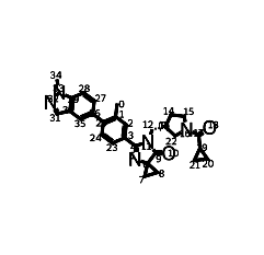 Cc1cc(C2=NC3(CC3)C(=O)N2C[C@@H]2CCN(C(=O)C3CC3)C2)ccc1-c1ccc2c(cnn2C)c1